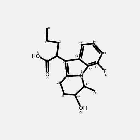 CCCC(C(=O)O)c1c2n(c3c(F)cccc13)C(C)C(O)CC2